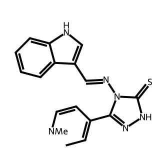 C/C=C(\C=C/NC)c1n[nH]c(=S)n1/N=C/c1c[nH]c2ccccc12